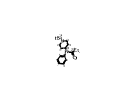 CCC(=O)N(c1ccccc1)C1CCN(C(C)(C)C)CC1